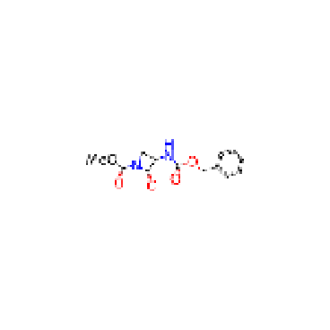 COC(=O)N1CC(NC(=O)OCc2ccccc2)C1=O